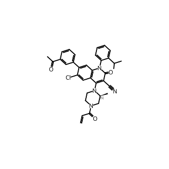 C=CC(=O)N1CCN(c2c(C#N)c(=O)n(-c3ccccc3C(C)C)c3cc(-c4cccc(C(C)=O)c4)c(Cl)cc23)[C@@H](C)C1